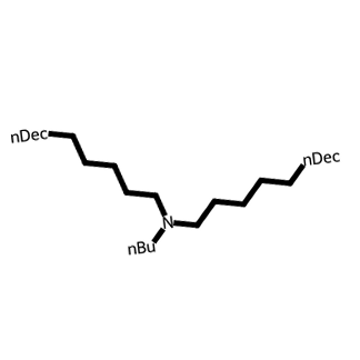 CCCCCCCCCCCCCCCN(CCCC)CCCCCCCCCCCCCCC